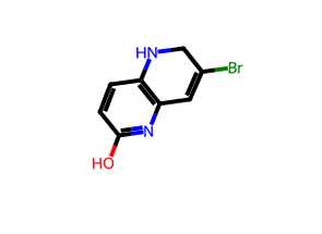 Oc1ccc2c(n1)C=C(Br)CN2